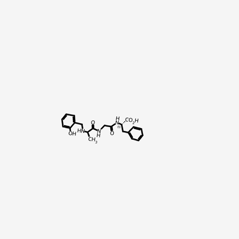 CC(NCc1ccccc1O)C(=O)NCC(=O)N[C@@H](Cc1ccccc1)C(=O)O